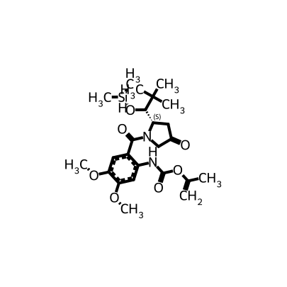 C=C(C)OC(=O)Nc1cc(OC)c(OC)cc1C(=O)N1CC(=O)C[C@H]1C(O[SiH](C)C)C(C)(C)C